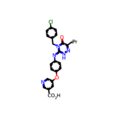 CC(C)c1n[nH]/c(=N\c2ccc(Oc3cncc(C(=O)O)c3)cc2)n(Cc2ccc(Cl)cc2)c1=O